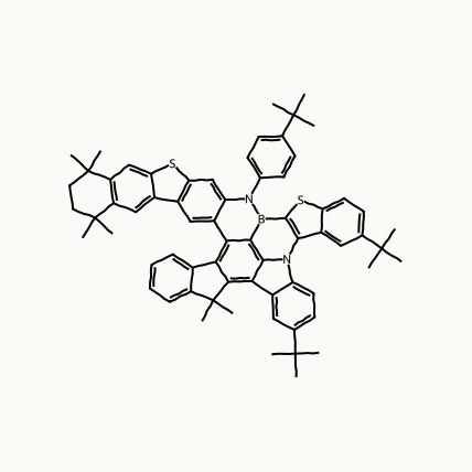 CC(C)(C)c1ccc(N2B3c4sc5ccc(C(C)(C)C)cc5c4-n4c5ccc(C(C)(C)C)cc5c5c6c(c(c3c54)-c3cc4c(cc32)sc2cc3c(cc24)C(C)(C)CCC3(C)C)-c2ccccc2C6(C)C)cc1